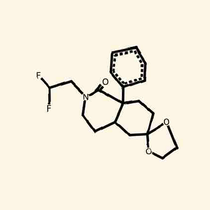 O=C1N(CC(F)F)CCC2CC3(CCC12c1ccccc1)OCCO3